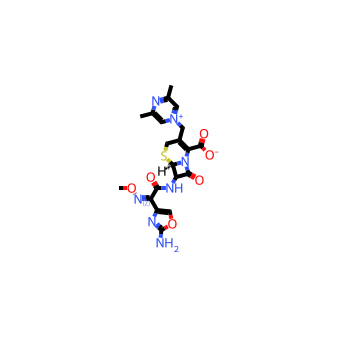 CO/N=C(\C(=O)NC1C(=O)N2C(C(=O)[O-])=C(C[n+]3cc(C)nc(C)c3)CS[C@H]12)c1coc(N)n1